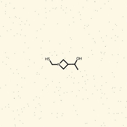 CC(O)C1CN(CS)C1